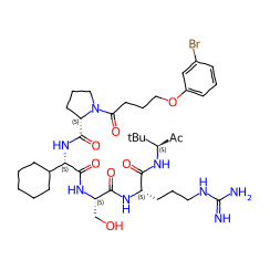 CC(=O)[C@@H](NC(=O)[C@H](CCCNC(=N)N)NC(=O)[C@H](CO)NC(=O)[C@@H](NC(=O)[C@@H]1CCCN1C(=O)CCCOc1cccc(Br)c1)C1CCCCC1)C(C)(C)C